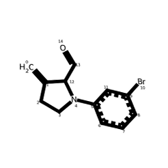 C=C1CCN(c2cccc(Br)c2)C1C=O